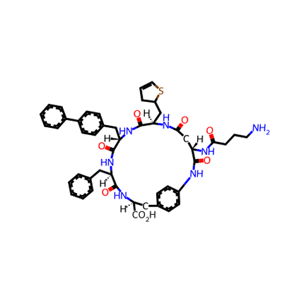 NCCCC(=O)N[C@H]1CC(=O)N[C@H](CC2CC=CS2)C(=O)N[C@@H](Cc2ccc(-c3ccccc3)cc2)C(=O)N[C@H](Cc2ccccc2)C(=O)N[C@H](C(=O)O)Cc2ccc(cc2)NC1=O